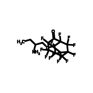 CCC(N)COC1(F)C2(F)C(=O)C3(F)C(F)(F)C(F)(C2(F)F)C(F)(F)C1(F)C3(F)F